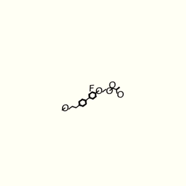 C=C(COC)C(=O)OCCOc1ccc(-c2ccc(CCCOC)cc2)cc1F